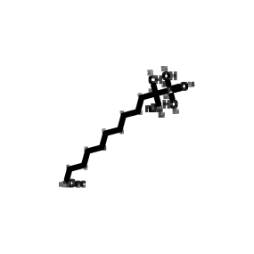 CCCCCCCCCCCCCCCCCCCC(C)(CCCC)P(=O)(O)O